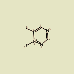 Cc1cncn[n+]1I